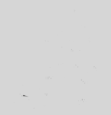 C=CC(=O)Nc1cc(Nc2ncc(C(F)(F)F)c(Nc3cc(Cl)c(F)cc3C(C)(C)O)n2)c(OC)cc1N1CC[C@@H](N(C)C)C1